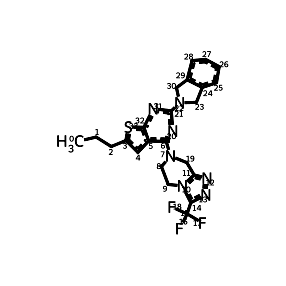 CCCc1cc2c(N3CCn4c(nnc4C(F)(F)F)C3)nc(N3Cc4ccccc4C3)nc2s1